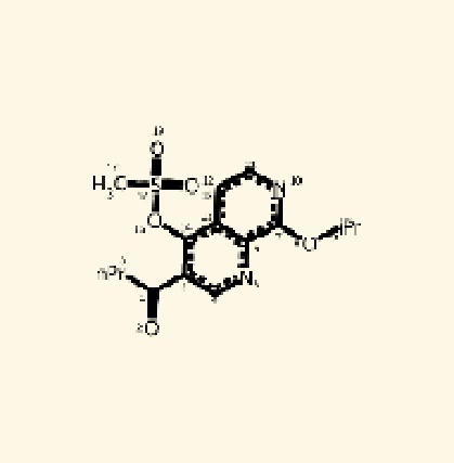 CCCC(=O)c1cnc2c(OC(C)C)nccc2c1OS(C)(=O)=O